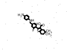 CC1(C)CCc2sc(-c3ccc(CNc4ccc(N)cc4)cc3F)c(C(=O)O)c2C1